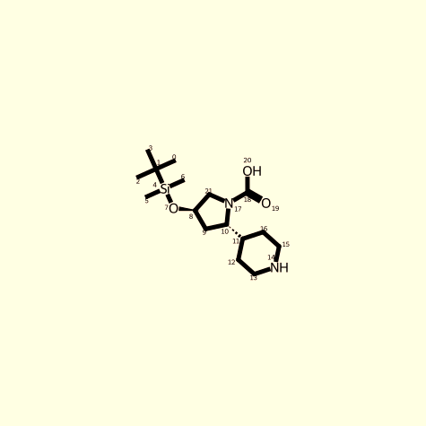 CC(C)(C)[Si](C)(C)O[C@@H]1C[C@@H](C2CCNCC2)N(C(=O)O)C1